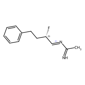 CC(=N)/N=C/[C@@H](F)CCc1ccccc1